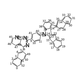 c1ccc2cc(-c3nc(-c4ccc(-n5c6cc7ccccc7cc6c6c(-c7ccc8ccccc8c7)cccc65)cc4)nc4ncccc34)ccc2c1